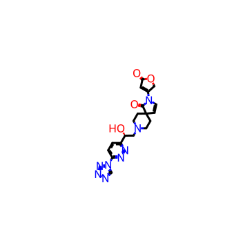 O=C1C=C(N2C=CC3(CCN(C[C@H](O)c4ccc(-n5cnnn5)nn4)CC3)C2=O)CO1